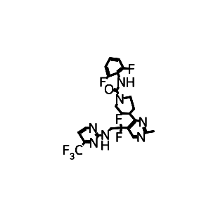 Cc1ncc(C(F)(F)CNc2nccc(C(F)(F)F)n2)c(C2CCN(C(=O)Nc3c(F)cccc3F)CC2)n1